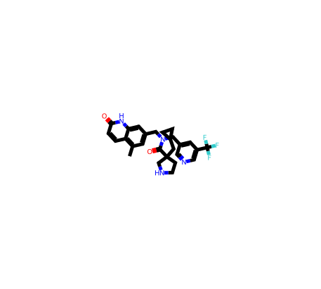 Cc1cc(CN(Cc2cncc(C(F)(F)F)c2)C(=O)C2(CC3CC3)CCNC2)cc2[nH]c(=O)ccc12